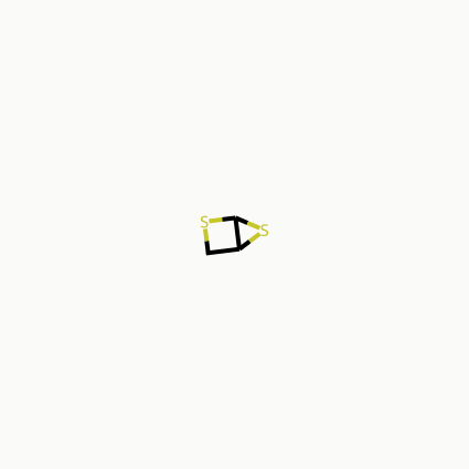 C1SC2SC12